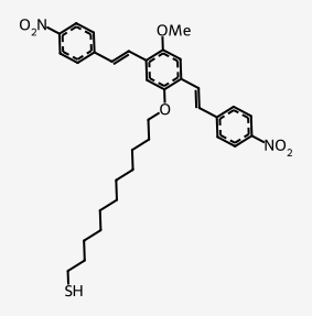 COc1cc(C=Cc2ccc([N+](=O)[O-])cc2)c(OCCCCCCCCCCCS)cc1C=Cc1ccc([N+](=O)[O-])cc1